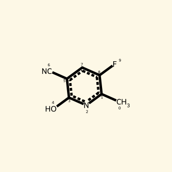 Cc1nc(O)c(C#N)cc1F